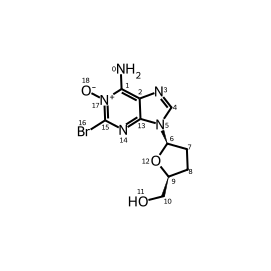 Nc1c2ncn([C@H]3CC[C@@H](CO)O3)c2nc(Br)[n+]1[O-]